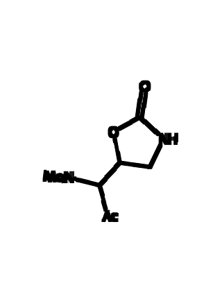 CNC(C(C)=O)C1CNC(=O)O1